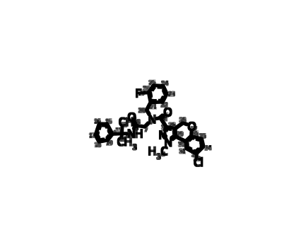 Cn1nc(C(=O)N(CC(=O)NC(C)(C)c2ccccc2)Cc2ccccc2F)c2c1-c1cc(Cl)ccc1OC2